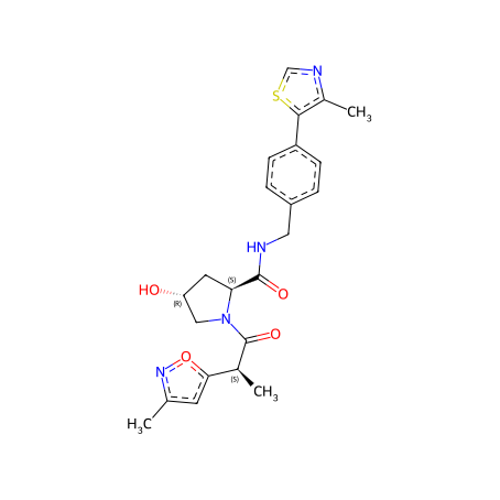 Cc1cc([C@H](C)C(=O)N2C[C@H](O)C[C@H]2C(=O)NCc2ccc(-c3scnc3C)cc2)on1